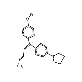 CC=CC=C(c1ccc(OCC)cc1)c1ccc(N2CCCC2)cc1